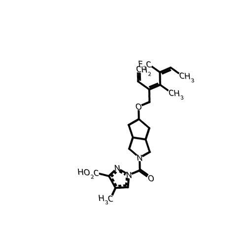 C=C/C(COC1CC2CN(C(=O)n3cc(C)c(C(=O)O)n3)CC2C1)=C(C)\C(=C/C)C(F)(F)F